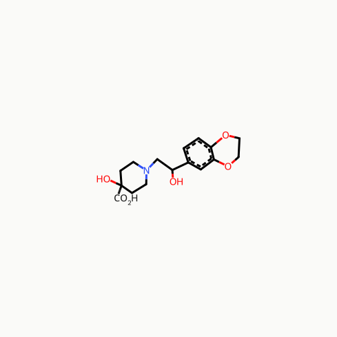 O=C(O)C1(O)CCN(CC(O)c2ccc3c(c2)OCCO3)CC1